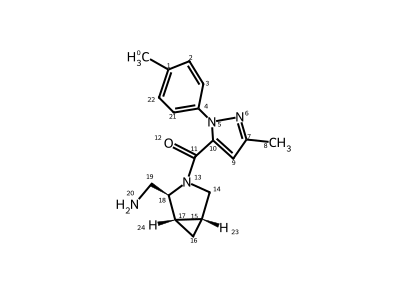 Cc1ccc(-n2nc(C)cc2C(=O)N2C[C@@H]3C[C@@H]3[C@H]2CN)cc1